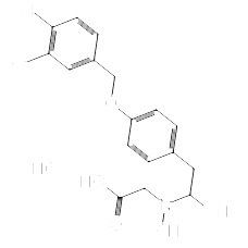 CC(Cc1ccc(OCc2ccc(Cl)c(Cl)c2)cc1)N(C)CC(=O)O.Cl